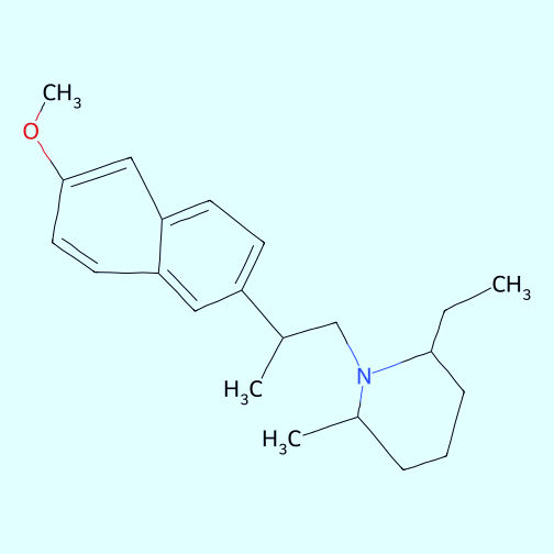 CCC1CCCC(C)N1CC(C)c1ccc2cc(OC)ccc2c1